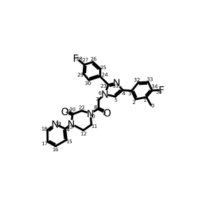 Cc1cc(-c2cn(CC(=O)N3CCN(c4ccccn4)C(=O)C3)c(-c3ccc(F)cc3)n2)ccc1F